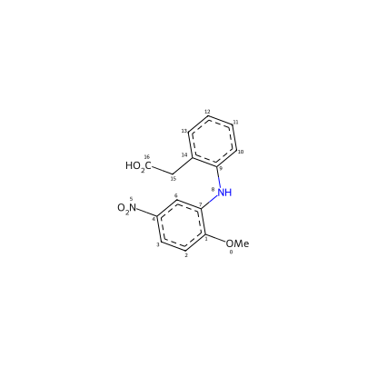 COc1ccc([N+](=O)[O-])cc1Nc1ccccc1CC(=O)O